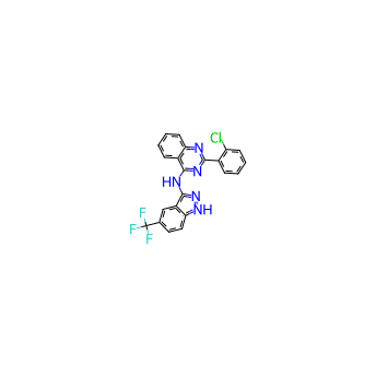 FC(F)(F)c1ccc2[nH]nc(Nc3nc(-c4ccccc4Cl)nc4ccccc34)c2c1